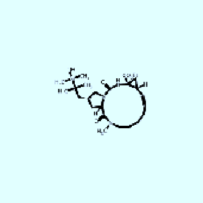 CCOC(=O)[C@@]12C[C@@H]1/C=C\CCCCN(C)C(=O)[C@@H]1C[C@@H](CC(C)(C)[Si](C)(C)O)CN1C(=O)N2